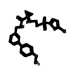 O=C(NCc1cccc(-c2ccc(OC(F)(F)F)cc2)c1)C1(NCCS(=O)(=O)c2ccc(Cl)s2)CC1